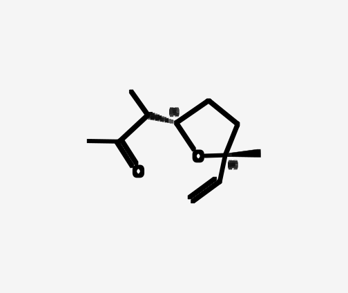 C=C[C@@]1(C)CC[C@@H](C(C)C(C)=O)O1